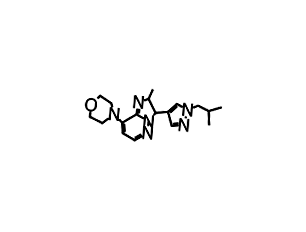 CC(C)Cn1cc(C2C(C)N=C3C(N4CCOCC4)=CC=NN32)cn1